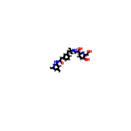 Cc1cc(C)nc(NC(=O)Cc2cccc(CC(C)(C)NCC(O)c3ccc(O)c(CO)n3)c2)c1